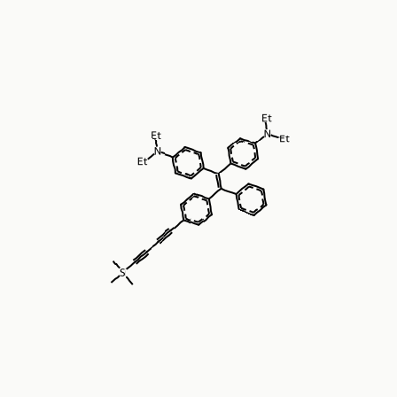 CCN(CC)c1ccc(C(=C(c2ccccc2)c2ccc(C#CC#C[Si](C)(C)C)cc2)c2ccc(N(CC)CC)cc2)cc1